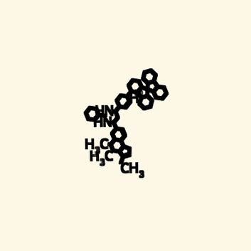 CCC1=CCC2C3C=CC(C4CC(C5C=CC(C6CCCC7[C@H]6C6CCCCC6C76C7CCCCC7C7CCCCC76)CC5)NC(C5CCCCC5)N4)CC3C(C)C(C)C12